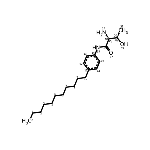 CCCCCCCCCCCc1ccc(NC(=O)[C@@H](N)[C@@H](C)O)cc1